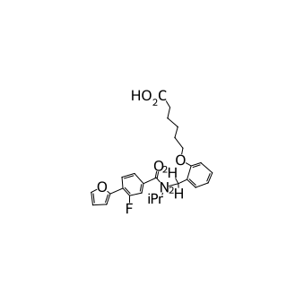 [2H]C([2H])(c1ccccc1OCCCCCC(=O)O)N(C(=O)c1ccc(-c2ccco2)c(F)c1)C(C)C